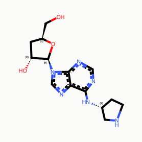 OC[C@@H]1C[C@@H](O)[C@H](n2cnc3c(N[C@@H]4CCNC4)ncnc32)O1